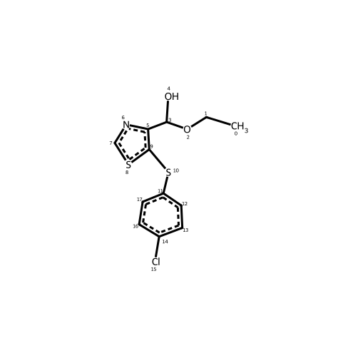 CCOC(O)c1ncsc1Sc1ccc(Cl)cc1